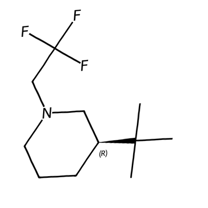 CC(C)(C)[C@H]1CCCN(CC(F)(F)F)C1